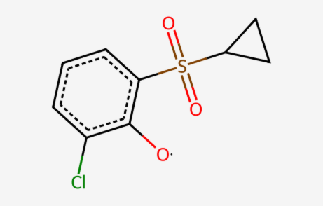 [O]c1c(Cl)cccc1S(=O)(=O)C1CC1